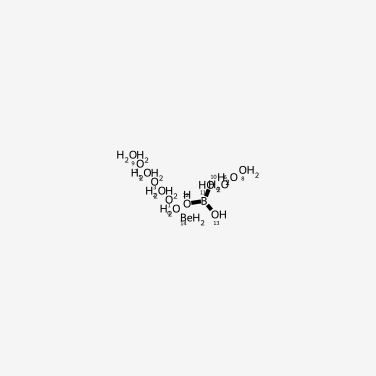 O.O.O.O.O.O.O.O.O.O.OB(O)O.[BeH2]